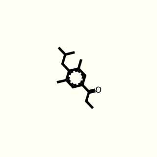 CCC(=O)c1cc(C)c(CC(C)C)c(C)c1